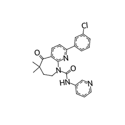 CC1(C)CCN(C(=O)Nc2cccnc2)c2nc(-c3cccc(Cl)c3)ccc2C1=O